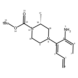 C=C/C=C(\C(N)=C/C)N1CCN(C(=O)OC(C)(C)C)[C@H](C)C1